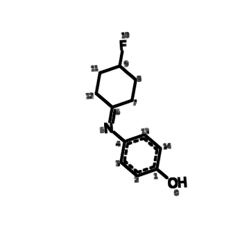 Oc1ccc(N=C2CCC(F)CC2)cc1